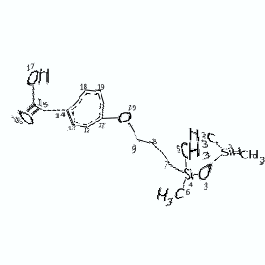 C[SiH](C)O[Si](C)(C)CCCOc1ccc(C(=O)O)cc1